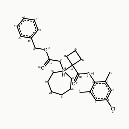 Cc1cc(Cl)cc(C)c1NC(=O)C1([PH]2(CC(=O)OCc3ccccc3)CCCCCC2)CCC1